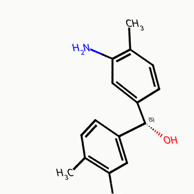 Cc1ccc([C@H](O)c2ccc(C)c(N=O)c2)cc1N